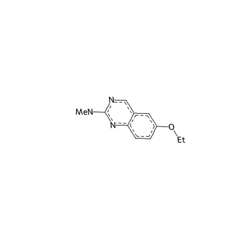 CCOc1ccc2nc(NC)ncc2c1